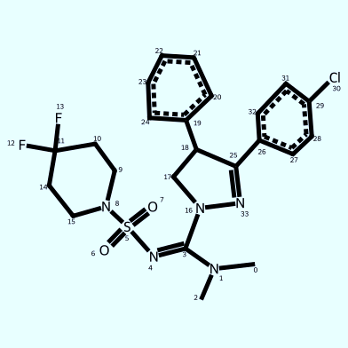 CN(C)/C(=N/S(=O)(=O)N1CCC(F)(F)CC1)N1CC(c2ccccc2)C(c2ccc(Cl)cc2)=N1